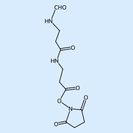 O=CNCCC(=O)NCCC(=O)ON1C(=O)CCC1=O